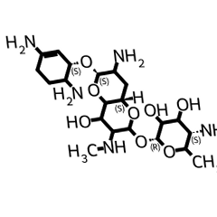 CNC1C(O[C@H]2OC(C)[C@@H](N)C(O)C2O)O[C@H]2CC(N)[C@@H](O[C@H]3C=C(N)CCC3N)OC2C1O